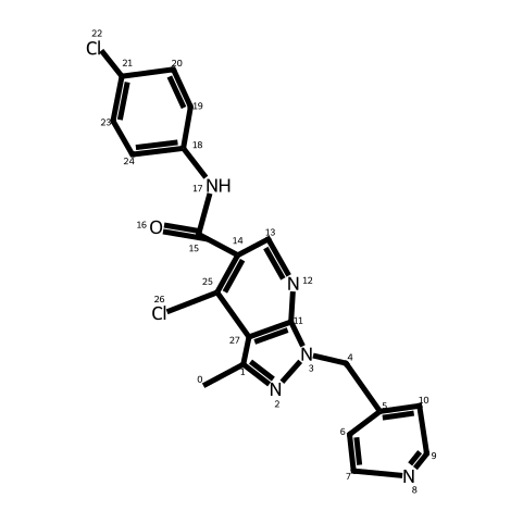 Cc1nn(Cc2ccncc2)c2ncc(C(=O)Nc3ccc(Cl)cc3)c(Cl)c12